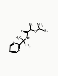 CCC(OC(N)C(C)CC)C(=O)NC(C)(C)c1ncccn1